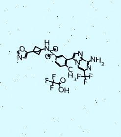 Cc1ccc(S(=O)(=O)NC23CC(c4cnco4)(C2)C3)cc1-c1cnc2c(N)nc(C(F)(F)F)cn12.O=C(O)C(F)(F)F